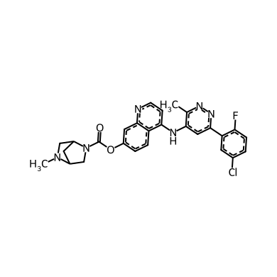 Cc1nnc(-c2cc(Cl)ccc2F)cc1Nc1ccnc2cc(OC(=O)N3CC4CC3CN4C)ccc12